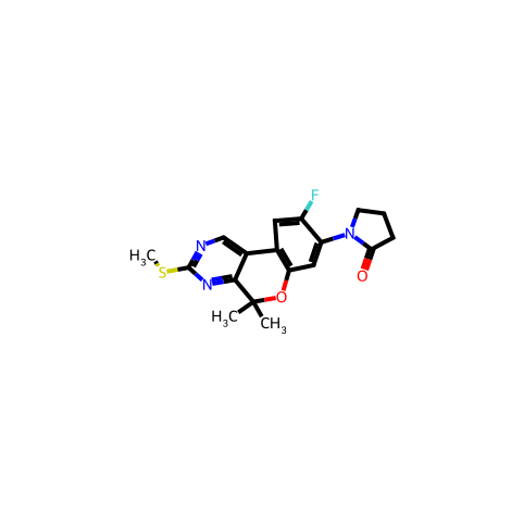 CSc1ncc2c(n1)C(C)(C)Oc1cc(N3CCCC3=O)c(F)cc1-2